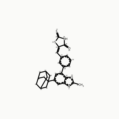 Cc1nc2cc(C34CC5CC(CC(C5)C3)C4)cc(-c3cccc(C=C4SC(=S)NC4=O)c3)c2o1